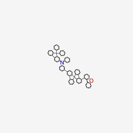 c1ccc(N(c2cccc(-c3ccc4c(c3)-c3ccccc3C43c4ccccc4-c4c(-c5cccc6oc7ccccc7c56)cccc43)c2)c2ccc3c(c2)C(c2ccccc2)(c2ccccc2)c2ccccc2-3)cc1